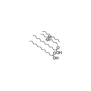 CCCCCCCCCCCC(=O)O.CCCCCCCCCCCC(=O)O.CCC[CH2][Sn][CH2]CCC.CCC[CH2][Sn][CH2]CCC